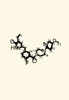 CCc1cc(Cc2ccc(F)c(C(=O)N3CCN(c4ccc(OC)cn4)CC3)c2)n[nH]c1=O